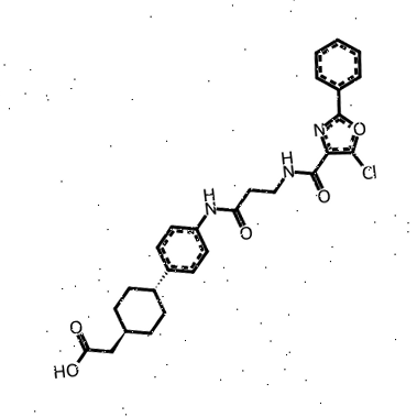 O=C(O)C[C@H]1CC[C@H](c2ccc(NC(=O)CCNC(=O)c3nc(-c4ccccc4)oc3Cl)cc2)CC1